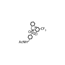 CC(=O)NCc1ccc(S(=O)(=O)N(Cc2ccccc2)c2ncc(C(F)(F)F)cc2Cl)cc1